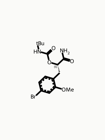 COc1cc(Br)ccc1C[C@H](OC(=O)NC(C)(C)C)C(N)=O